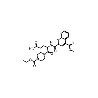 CCOC(=O)N1CCN(C(=O)C(CCC(=O)O)NC(=O)c2cc(C(=O)OC)c3ccccc3n2)CC1